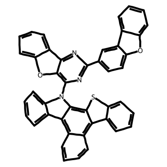 c1ccc2c(c1)oc1ccc(-c3nc(-n4c5ccccc5c5c6ccccc6c6c7ccccc7sc6c54)c4oc5ccccc5c4n3)cc12